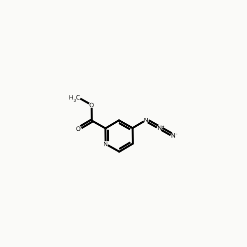 COC(=O)c1cc(N=[N+]=[N-])ccn1